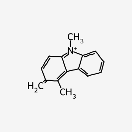 C=c1ccc2c(c1C)-c1ccccc1[N+]=2C